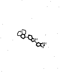 c1nc2ccc(-c3cc4cc(-c5ccc6c7c5CCCN7CCC6)ccc4[nH]3)cc2[nH]1